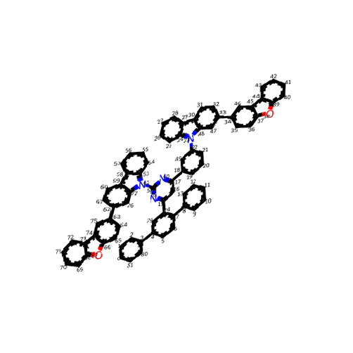 c1ccc(-c2ccc(-c3ccccc3)c(-c3cc(-c4cccc(-n5c6ccccc6c6ccc(-c7ccc8oc9ccccc9c8c7)cc65)c4)nc(-n4c5ccccc5c5ccc(-c6ccc7oc8ccccc8c7c6)cc54)n3)c2)cc1